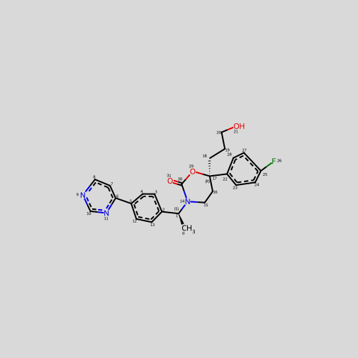 C[C@@H](c1ccc(-c2ccncn2)cc1)N1CC[C@](CCCO)(c2ccc(F)cc2)OC1=O